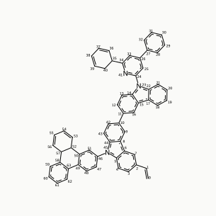 C=Cc1ccc2c(c1)c1cc(-c3ccc4c(c3)c3ccccc3n4-c3cc(-c4ccccc4)cc(C4C=CC=CC4)n3)ccc1n2-c1ccc2c(c1)C1C=CC=CC1c1ccccc1-2